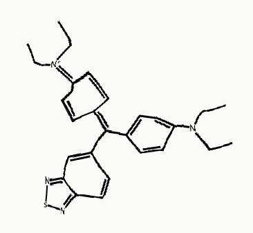 CCN(CC)c1ccc(C(=C2C=CC(=[N+](CC)CC)C=C2)c2ccc3nsnc3c2)cc1